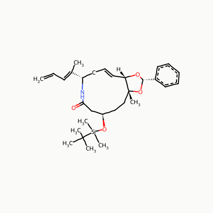 C=C/C=C(\C)[C@@H]1C/C=C/[C@@H]2O[C@H](c3ccccc3)O[C@]2(C)CC[C@@H](O[Si](C)(C)C(C)(C)C)CC(=O)N1